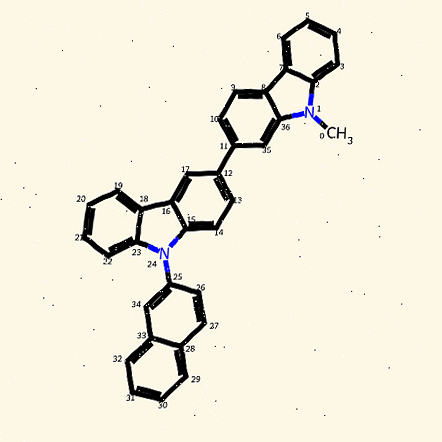 Cn1c2ccccc2c2ccc(-c3ccc4c(c3)c3ccccc3n4-c3ccc4ccccc4c3)cc21